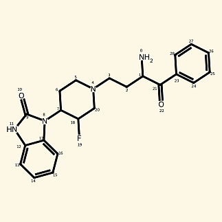 NC(CCN1CCC(n2c(=O)[nH]c3ccccc32)C(F)C1)C(=O)c1ccccc1